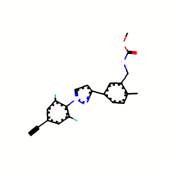 C#Cc1cc(F)c(-n2ccc(-c3ccc(C)c(CNC(=O)OC)c3)n2)c(F)c1